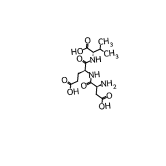 CC(C)[C@H](NC(=O)[C@H](CCC(=O)O)NC(=O)[C@@H](N)CC(=O)O)C(=O)O